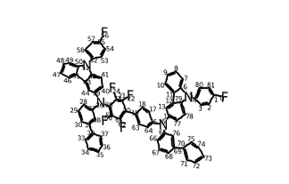 Fc1ccc(-n2c3ccccc3c3cc(N(c4ccc(-c5c(F)c(F)c(N(c6cccc(-c7ccccc7)c6)c6ccc7c(c6)c6ccccc6n7-c6ccc(F)cc6)c(F)c5F)cc4)c4cccc(-c5ccccc5)c4)ccc32)cc1